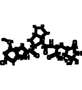 COc1cc(Cl)cc2[nH]c(C(=O)N3CC4CCCC4[C@H]3C(=O)NC(CC3CC(C)(C)NC3=O)C(N)=O)cc12